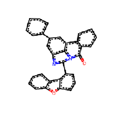 O=c1c2ccccc2c2cc(-c3ccccc3)cc3nc(-c4cccc5oc6ccccc6c45)n1c32